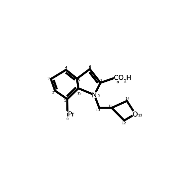 CC(C)c1cccc2cc(C(=O)O)n(CC3COC3)c12